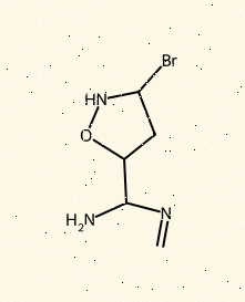 C=NC(N)C1CC(Br)NO1